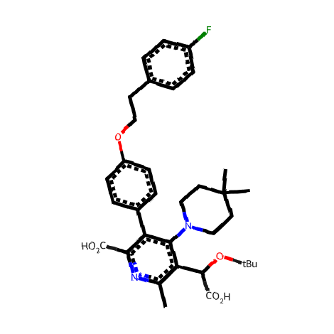 Cc1nc(C(=O)O)c(-c2ccc(OCCc3ccc(F)cc3)cc2)c(N2CCC(C)(C)CC2)c1C(OC(C)(C)C)C(=O)O